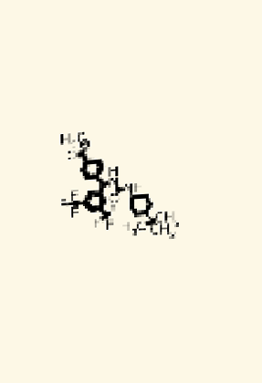 COC(=O)c1ccc(C(NC(=O)N[C@H]2CC[C@H](C(C)(C)C)CC2)c2cc(C(F)(F)F)cc(C(F)(F)F)c2)cc1